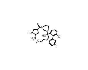 COCCCC[C@@](O)(c1cccc(Cl)c1-c1cccc(F)c1)[C@@H]1CCCN(C(=O)[C@H]2C[C@@H](N)[C@@H](O)C2)C1